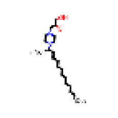 CCCCCCCCCCCCCCCCCCCCCC(CCCCCCCCC)N1CCN(CC(O)CO)CC1